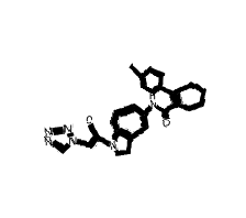 Cc1ccc(C2=C(C(=O)Nc3ccc4c(c3)CCN4C(=O)Cn3cnnn3)CCCC2)cc1